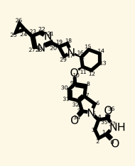 O=C1CCC(N2Cc3cc(O[C@@H]4CCCC[C@@H]4N4CC(c5ncc(C6CC6)cn5)C4)ccc3C2=O)C(=O)N1